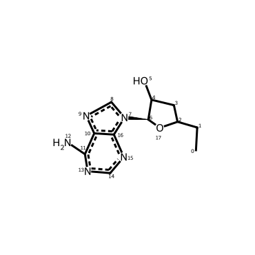 CCC1CC(O)[C@H](n2cnc3c(N)ncnc32)O1